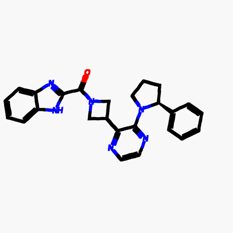 O=C(c1nc2ccccc2[nH]1)N1CC(c2nccnc2N2CCC[C@H]2c2ccccc2)C1